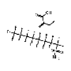 C=C(CC)C(=O)O.CC(F)(C(F)(F)C(F)(F)C(F)(F)C(F)(F)C(F)(F)C(F)(F)C(F)(F)F)S(N)(=O)=O